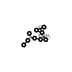 CC1(c2ccccc2)c2ccccc2-c2c1ccc1c2Sc2c(-c3ccc(N(c4ccccc4)c4ccc(-c5ccccc5)cc4)cc3)cccc2[Si]1(C)c1ccccc1